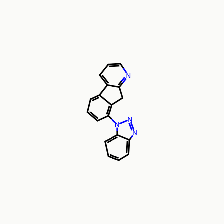 c1cnc2c(c1)-c1cccc(-n3nnc4ccccc43)c1C2